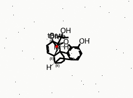 CO[C@]12C=C[C@@]3(C[C@@H]1C(C)(O)C(C)(C)C)[C@@H]1CCCC34c3c(ccc(O)c3O[C@H]42)C1